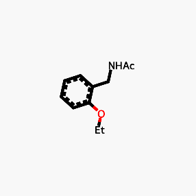 CCOc1ccccc1CNC(C)=O